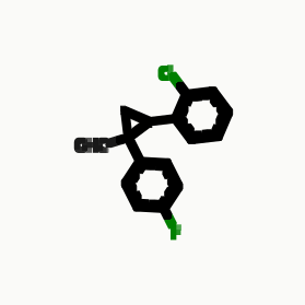 O=CC1(c2ccc(F)cc2)C[C]1c1ccccc1Cl